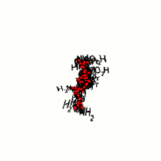 CC[C@H](C)[C@H](N)C(=O)N[C@@H](CCCCN)C(=O)NCC(=O)N[C@@H](CC(C)C)C(=O)N[C@@H](CCCCN)C(=O)N1CCC[C@H]1C(=O)NCC(=O)N[C@H](C(=O)N[C@H](C(=O)N[C@@H](Cc1ccc(O)cc1)C(=O)N[C@@H](CCC(=O)O)C(=O)NCC(=O)N[C@@H](CCC(N)=O)C(=O)N[C@@H](CC(C)C)C(=O)O)C(C)C)C(C)C